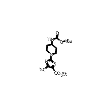 CCOC(=O)c1sc(N2CCC(NC(=O)OC(C)(C)C)CC2)nc1C#N